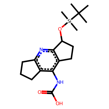 CC(C)(C)[Si](C)(C)OC1CCc2c1nc1c(c2NC(=O)O)CCC1